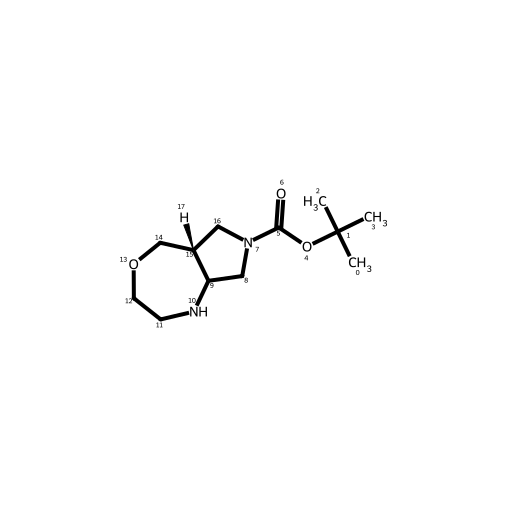 CC(C)(C)OC(=O)N1CC2NCCOC[C@@H]2C1